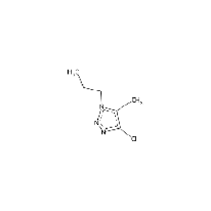 CCCn1nnc(Cl)c1C